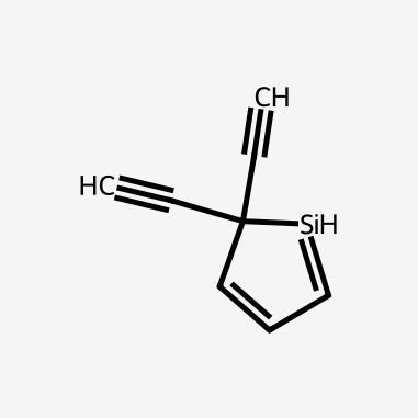 C#CC1(C#C)C=CC=[SiH]1